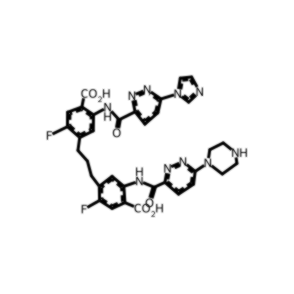 O=C(Nc1cc(CCCc2cc(NC(=O)c3ccc(-n4ccnc4)nn3)c(C(=O)O)cc2F)c(F)cc1C(=O)O)c1ccc(N2CCNCC2)nn1